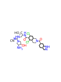 [C-]#[N+]N=C(NC[C@H](NC(=O)c1c(Cl)cc2c(c1Cl)CCN(C(=O)c1ccc3cn[nH]c3c1)C2)C(=O)O)N1C[C@@H](O)[C@@H](N)C1